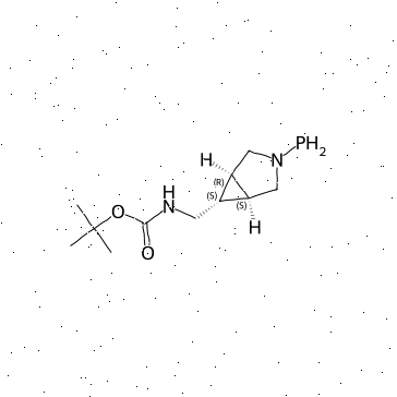 CC(C)(C)OC(=O)NC[C@@H]1[C@H]2CN(P)C[C@@H]12